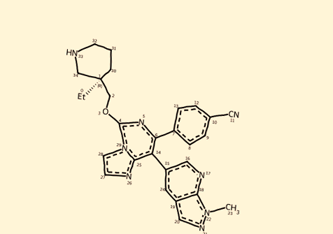 CC[C@@]1(COc2nc(-c3ccc(C#N)cc3)c(-c3cnc4c(cnn4C)c3)c3nccn23)CCCNC1